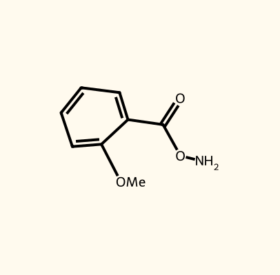 COc1ccccc1C(=O)ON